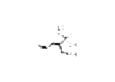 C=C/C=C(\CS)P(=O)(O)OCC